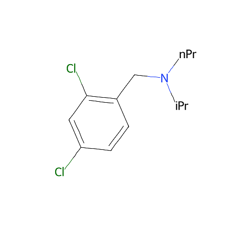 CCCN(Cc1ccc(Cl)cc1Cl)C(C)C